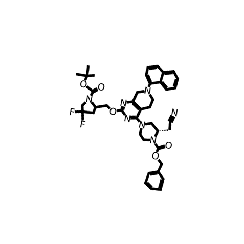 CC(C)(C)OC(=O)N1CC(F)(F)CC1COc1nc2c(c(N3CCN(C(=O)OCc4ccccc4)[C@@H](CC#N)C3)n1)CCN(c1cccc3ccccc13)C2